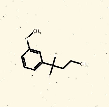 CCCC(F)(F)c1cccc(OC)c1